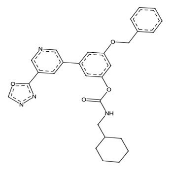 O=C(NCC1CCCCC1)Oc1cc(OCc2ccccc2)cc(-c2cncc(-c3nnco3)c2)c1